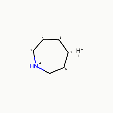 [CH]1CCCNCC1.[H+]